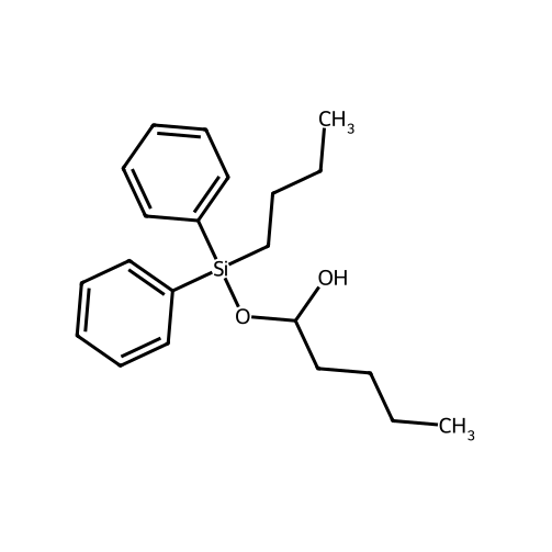 CCCCC(O)O[Si](CCCC)(c1ccccc1)c1ccccc1